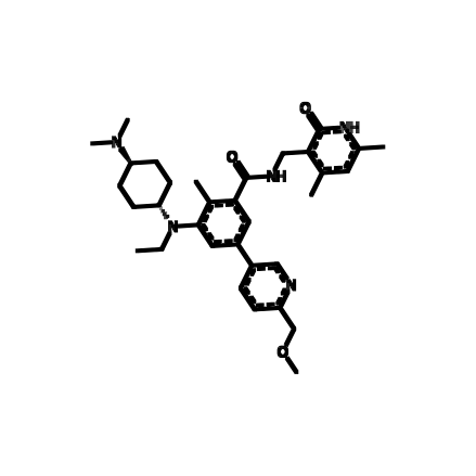 CCN(c1cc(-c2ccc(COC)nc2)cc(C(=O)NCc2c(C)cc(C)[nH]c2=O)c1C)[C@H]1CC[C@H](N(C)C)CC1